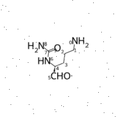 NCCC[C@@H]([C]=O)NC(N)=O